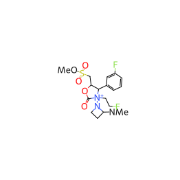 CNC1CCN1[N+]1(CCF)C(=O)OC(CS(=O)(=O)OC)C1c1cccc(F)c1